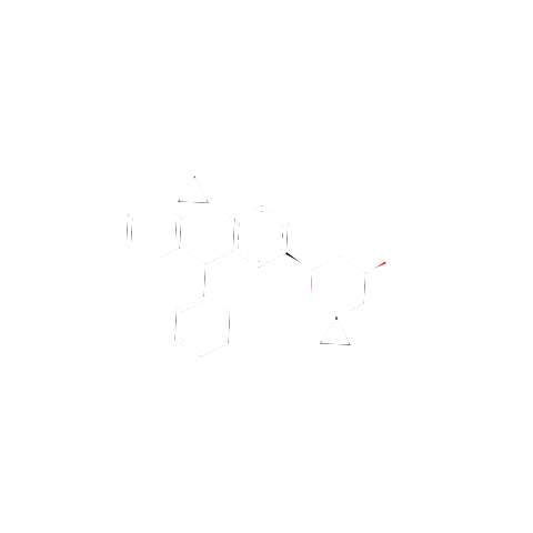 O[C@@H]1[C@@H](O)[C@H](O)C2(CC2)O[C@H]1c1ccc(C2CC2)c(C(C2=CC=CCC2)C2=COC=CO2)c1